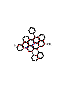 Cc1ccc(N(C=C(c2ccccc2)c2ccccc2)c2ccccc2-c2cccc(-c3ccccc3N(C=C(c3ccccc3)c3ccccc3)c3ccc(C)cc3)c2-c2ccccc2N(C=C(c2ccccc2)c2ccccc2)c2ccc(C)cc2)cc1